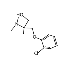 CN(C)C(C)(CO)COc1ccccc1Cl